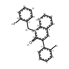 Cc1ccccc1-c1cc2cccnc2n(Cc2ccccc2F)c1=O